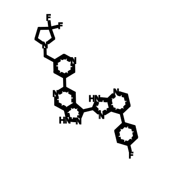 Fc1ccc(-c2ccnc3[nH]c(-c4n[nH]c5cnc(-c6cncc(CN7CCC(F)(F)C7)c6)cc45)nc23)cc1